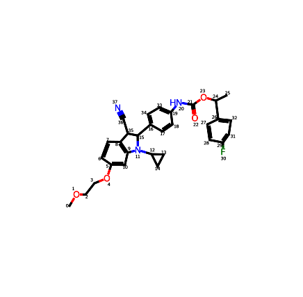 COCCOc1ccc2c(c1)N(C1CC1)C(c1ccc(NC(=O)OC(C)c3ccc(F)cc3)cc1)C2C#N